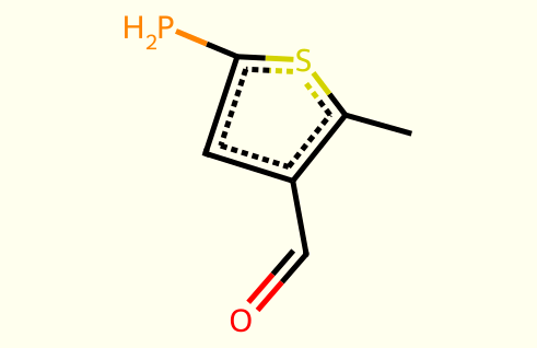 Cc1sc(P)cc1C=O